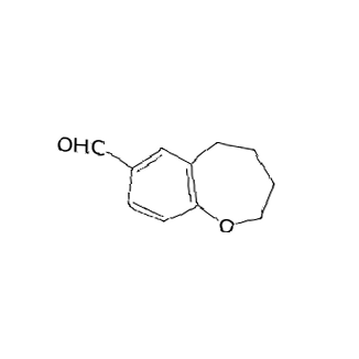 O=Cc1ccc2c(c1)CCCCO2